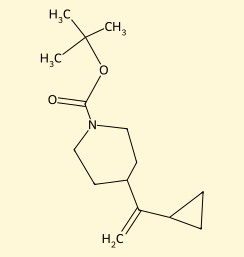 C=C(C1CC1)C1CCN(C(=O)OC(C)(C)C)CC1